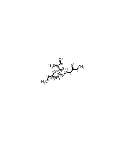 CCC(=S)CNSN(C)P(=O)(SC(C)CC)N(C)C=O